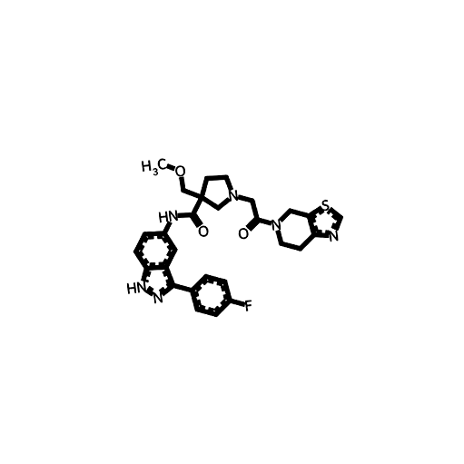 COCC1(C(=O)Nc2ccc3[nH]nc(-c4ccc(F)cc4)c3c2)CCN(CC(=O)N2CCc3ncsc3C2)C1